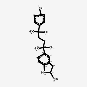 CC(C)(C)c1ccc(C(C)(C)CCC(C)(C)c2ccc3c(c2)CC(C(C)(C)C)N3)cc1